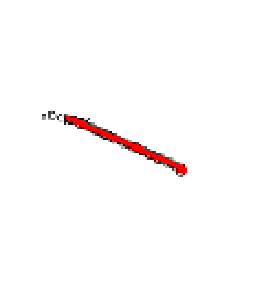 C=C(C)C(=O)OCCOCCOCCOCCOCCOCCOCCOCCOCCOCCOCCOCCOCCOCCOCCOCCOCCOCCOCCOCCOCCOCCOCCOCCOCCOCC(CCCCCCCC)CCCCCCCCCC